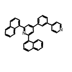 c1cc(-c2ccncc2)cc(-c2cc(-c3cccc4ccccc34)nc(-c3cccc4ccccc34)c2)c1